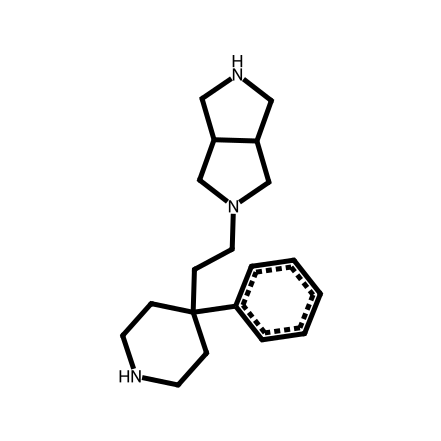 c1ccc(C2(CCN3CC4CNCC4C3)CCNCC2)cc1